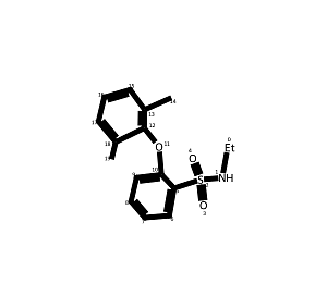 CCNS(=O)(=O)c1ccccc1Oc1c(C)cccc1C